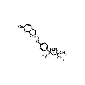 CC(C)(C)CC(C)(C)c1ccc(OC[C@H]2Cn3ccc(=O)nc3O2)cc1